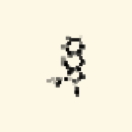 O=C(O)C1C(=O)CN(Cc2ccccc2)C1=O